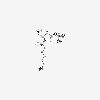 NCCCCCC(=O)N1C[C@H](O[PH](=O)O)C[C@H]1CO